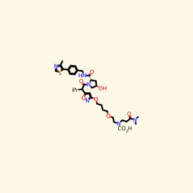 Cc1ncsc1-c1ccc(CNC(=O)[C@@H]2C[C@@H](O)CN2C(=O)C(c2cc(OCCCCOCCN(CCC(=O)N(C)C)C(=O)O)no2)C(C)C)cc1